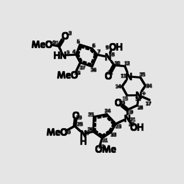 COC(=O)Nc1ccc(N(O)C(=O)CN2CC[N+](C)(CC(=O)N(O)c3ccc(NC(=O)OC)c(OC)c3)CC2)cc1OC